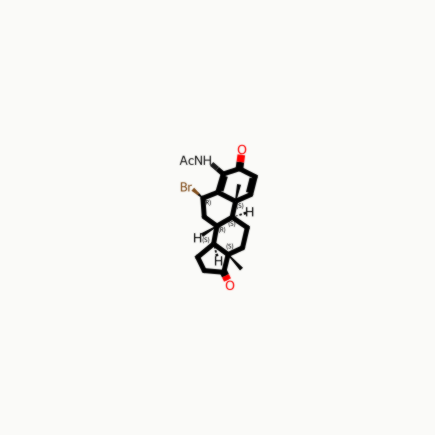 CC(=O)NC1=C2[C@H](Br)C[C@@H]3[C@H](CC[C@]4(C)C(=O)CC[C@@H]34)[C@@]2(C)C=CC1=O